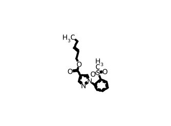 CCC=CCOC(=O)c1cnn(-c2ccccc2S(C)(=O)=O)c1